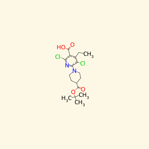 CCc1c(Cl)c(N2CCC(C(=O)OC(C)(C)C)CC2)nc(Cl)c1C(=O)O